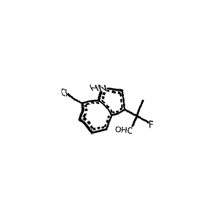 CC(F)(C=O)c1c[nH]c2c(Cl)cccc12